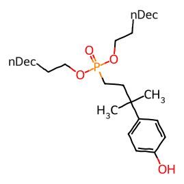 CCCCCCCCCCCCOP(=O)(CCC(C)(C)c1ccc(O)cc1)OCCCCCCCCCCCC